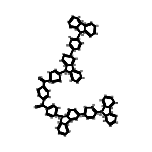 O=C(c1ccc(C(=O)c2ccc(-n3c4ccccc4c4cc(-c5ccc(-n6c7ccccc7c7ccccc76)nc5)ccc43)cc2)cc1)c1ccc(-n2c3ccccc3c3cc(-c4ccc(-n5c6ccccc6c6ccccc65)nc4)ccc32)cc1